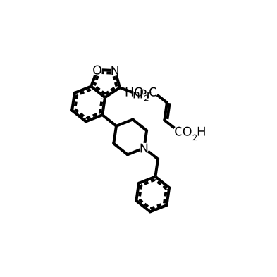 CCCc1noc2cccc(C3CCN(Cc4ccccc4)CC3)c12.O=C(O)C=CC(=O)O